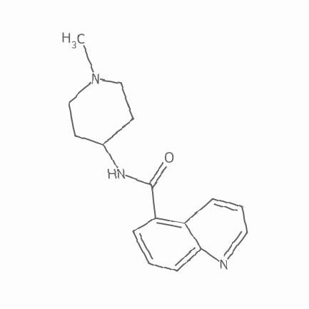 CN1CCC(NC(=O)c2cccc3ncccc23)CC1